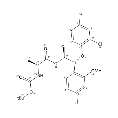 COc1cc(C)ccc1[C@@H](Oc1ccc(C)cc1Cl)[C@H](C)OC(=O)[C@H](C)NC(=O)OC(C)(C)C